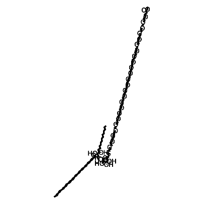 CC#CC#CC#CC#CC#CC#CC#CC#CC#CC#CC#CC#CC(=O)N[C@@H](CO[C@H]1OC(CSSCCOCCOCCOCCOCCOCCOCCOCCOCCOCCOCCOCCOCCOCCOCCOCCOCCOCCOCCOCCOCCOCCOCCOCCOCCC(=O)OC)[C@H](O)[C@H](O)C1O)[C@H](O)[C@H](O)CCCCCCCCCCCCCC